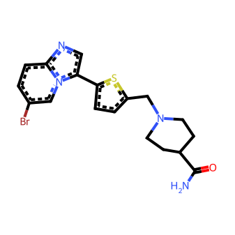 NC(=O)C1CCN(Cc2ccc(-c3cnc4ccc(Br)cn34)s2)CC1